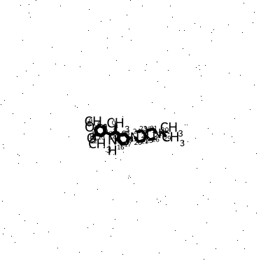 CCc1c(-c2ccc(OC)c(OC)c2)[nH]c2ccc(N3CCC4(CC3)CCN(C(C)C)CC4)cc12